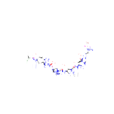 C=C(Br)C(=O)Nc1ccc2nn(C(=O)Nc3cc(C(=O)Nc4cc(C(=O)Nc5cc(C(=O)NCCC(N)=NO)n(C)c5)n(C)c4)n(C)c3)cc2c1